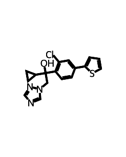 OC(Cn1cncn1)(c1ccc(-c2cccs2)cc1Cl)C1CC1